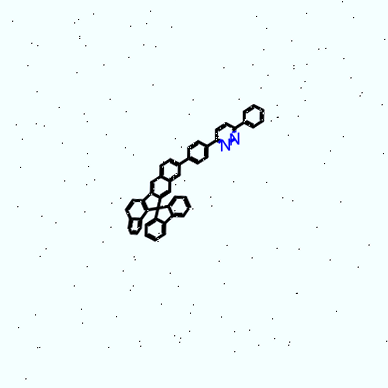 c1ccc(-c2ccc(-c3ccc(-c4ccc5cc6c(cc5c4)C4(c5ccccc5-c5ccccc54)c4c-6ccc5ccccc45)cc3)nn2)cc1